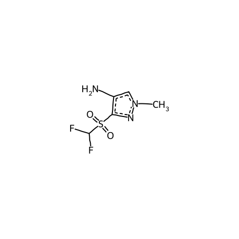 Cn1cc(N)c(S(=O)(=O)C(F)F)n1